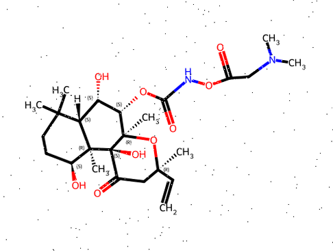 C=C[C@@]1(C)CC(=O)[C@]2(O)[C@@]3(C)[C@@H](O)CCC(C)(C)[C@@H]3[C@H](O)[C@H](OC(=O)NOC(=O)CN(C)C)[C@@]2(C)O1